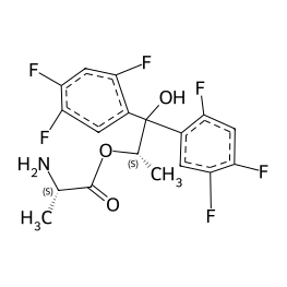 C[C@H](N)C(=O)O[C@@H](C)C(O)(c1cc(F)c(F)cc1F)c1cc(F)c(F)cc1F